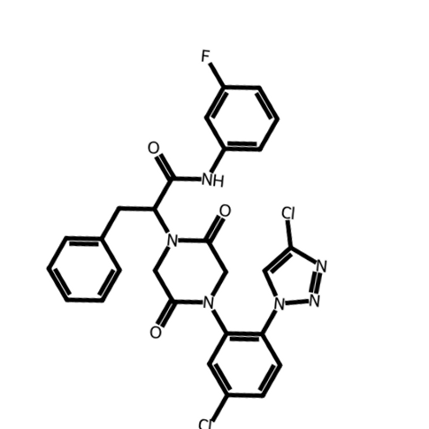 O=C(Nc1cccc(F)c1)C(Cc1ccccc1)N1CC(=O)N(c2cc(Cl)ccc2-n2cc(Cl)nn2)CC1=O